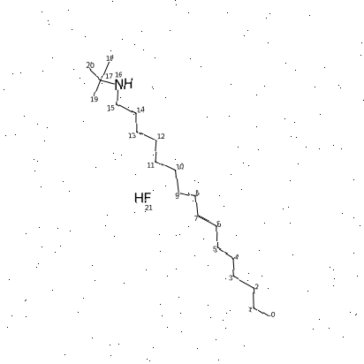 CCCCCCCCCCCCCCCCNC(C)(C)C.F